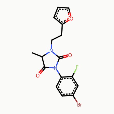 CC1C(=O)N(c2ccc(Br)cc2F)C(=O)N1CCc1ccco1